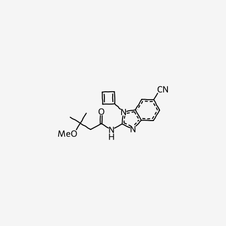 COC(C)(C)CC(=O)Nc1nc2ccc(C#N)cc2n1C1=CC=C1